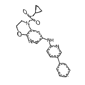 O=S(=O)(C1CC1)N1CCOc2ncc(Nc3ccc(-c4cc[c]cc4)cn3)cc21